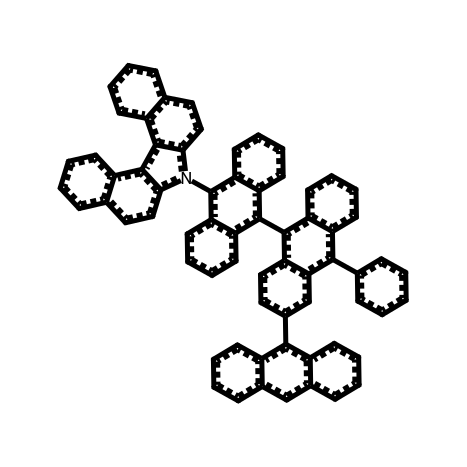 c1ccc(-c2c3ccccc3c(-c3c4ccccc4c(-n4c5ccc6ccccc6c5c5c6ccccc6ccc54)c4ccccc34)c3ccc(-c4c5ccccc5cc5ccccc45)cc23)cc1